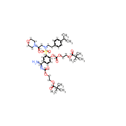 CC(C)c1ccc(CCN(CC(=O)N2CCOCC2)S(=O)(=O)c2cc(/C(N)=N\C(=O)OCCOC(=O)C(C)(C)C)ccc2OC(=O)OCCOC(=O)C(C)(C)C)cc1